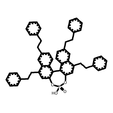 O=P1(O)Oc2cc(CCc3ccccc3)c3cc(CCc4ccccc4)ccc3c2-c2c(cc(CCc3ccccc3)c3cc(CCc4ccccc4)ccc23)O1